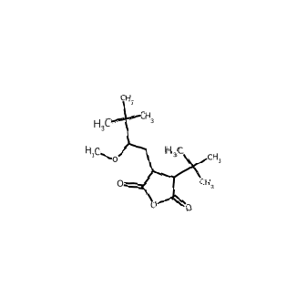 COC(CC1C(=O)OC(=O)C1C(C)(C)C)C(C)(C)C